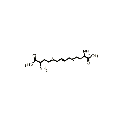 NC(CCSC/C=C/CSCCC(N)C(=O)O)C(=O)O